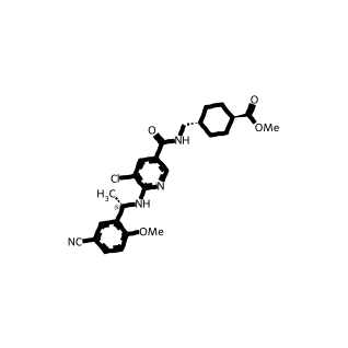 COc1ccc(C#N)cc1[C@H](C)Nc1ncc(C(=O)NC[C@H]2CC[C@H](C(=O)OC)CC2)cc1Cl